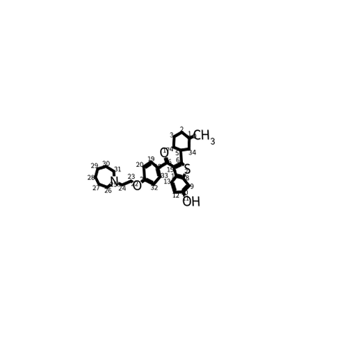 CC1CCCC(c2sc3cc(O)ccc3c2C(=O)c2ccc(OCCN3CCCCCC3)cc2)C1